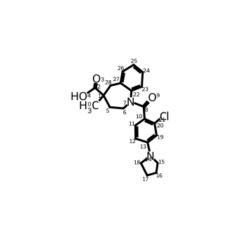 CC1(C(=O)O)CCN(C(=O)c2ccc(N3CCCC3)cc2Cl)c2ccccc2C1